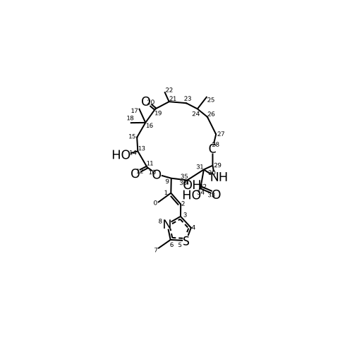 CC(=Cc1csc(C)n1)C1OC(=O)C(O)CC(C)(C)C(=O)C(C)CC(C)CCCC2NC2(C(=O)O)C1O